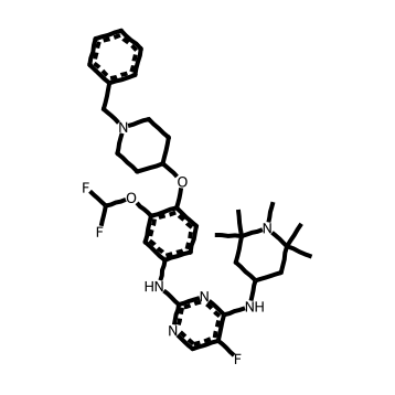 CN1C(C)(C)CC(Nc2nc(Nc3ccc(OC4CCN(Cc5ccccc5)CC4)c(OC(F)F)c3)ncc2F)CC1(C)C